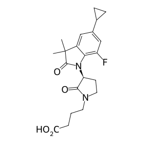 CC1(C)C(=O)N([C@H]2CCN(CCCC(=O)O)C2=O)c2c(F)cc(C3CC3)cc21